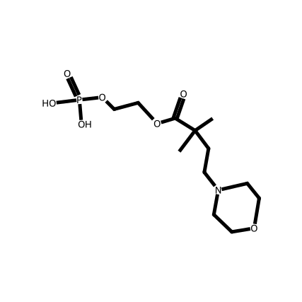 CC(C)(CCN1CCOCC1)C(=O)OCCOP(=O)(O)O